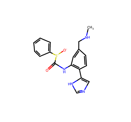 CNCc1ccc(-c2cnc[nH]2)c(NC(=O)[S+]([O-])c2ccccc2)c1